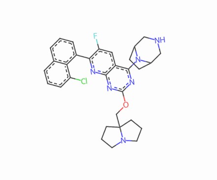 Fc1cc2c(N3C4CCC3CNC4)nc(OCC34CCCN3CCC4)nc2nc1-c1cccc2cccc(Cl)c12